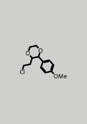 COc1ccc(C2OCCOC2CCCl)cc1